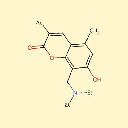 CCN(CC)Cc1c(O)cc(C)c2cc(C(C)=O)c(=O)oc12